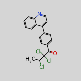 CC(Cl)C(Cl)(Cl)C(=O)c1ccc(-c2ccnc3ccccc23)cc1